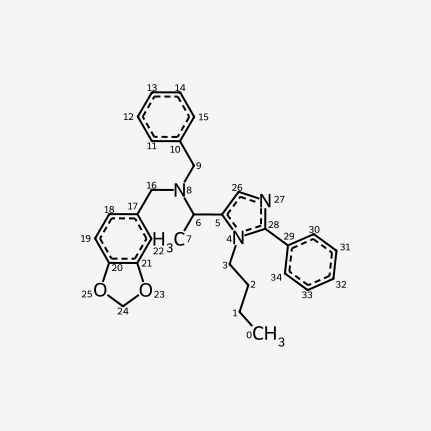 CCCCn1c(C(C)N(Cc2ccccc2)Cc2ccc3c(c2)OCO3)cnc1-c1ccccc1